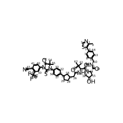 Cc1ncsc1-c1ccc(CNC(=O)[C@@H]2C[C@@H](O)CN2C(=O)[C@@H](NC(=O)CC2CCC(c3ccc(N4C(=S)N(c5ccc(C#N)c(C(F)(F)F)c5)C(=O)C4(C)C)cc3)C2)C(C)(C)C)cc1